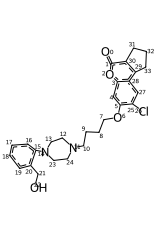 O=c1oc2cc(OCCCCN3CCN(c4ccccc4CO)CC3)c(Cl)cc2c2c1CCC2